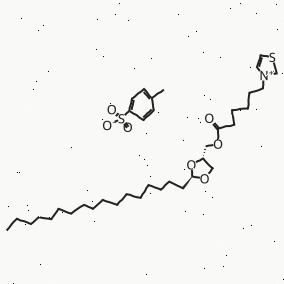 CCCCCCCCCCCCCCCCC[C@@H]1OC[C@@H](COC(=O)CCCCC[n+]2ccsc2)O1.Cc1ccc(S(=O)(=O)[O-])cc1